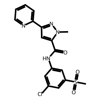 Cn1nc(-c2ccccn2)cc1C(=O)Nc1cc(Cl)cc(S(C)(=O)=O)c1